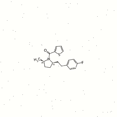 C[C@@H]1CC[C@H](CCc2ccc(F)cc2)N1C(=O)c1cccs1